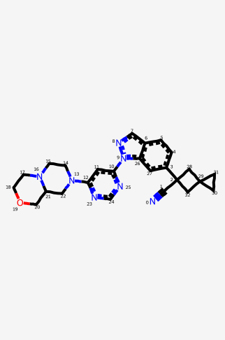 N#CC1(c2ccc3cnn(-c4cc(N5CCN6CCOCC6C5)ncn4)c3c2)CC2(CC2)C1